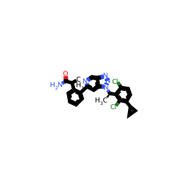 CC(C(N)=O)c1ccccc1-c1cc2c(cn1)nnn2[C@H](C)c1c(Cl)ccc(C2CC2)c1Cl